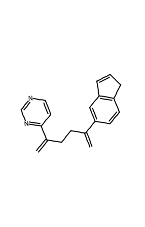 C=C(CCC(=C)c1ccncn1)c1ccc2c(c1)C=CC2